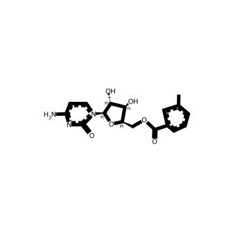 Cc1cccc(C(=O)OC[C@H]2O[C@@H](n3ccc(N)nc3=O)[C@H](O)[C@@H]2O)c1